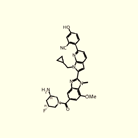 COc1cc(C(=O)N2C[C@H](N)C[C@@H](F)C2)cc2nc(-c3cc4ccc(-c5ccc(O)cc5C#N)nc4n3CC3CC3)n(C)c12